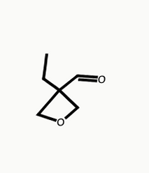 CCC1(C=O)COC1